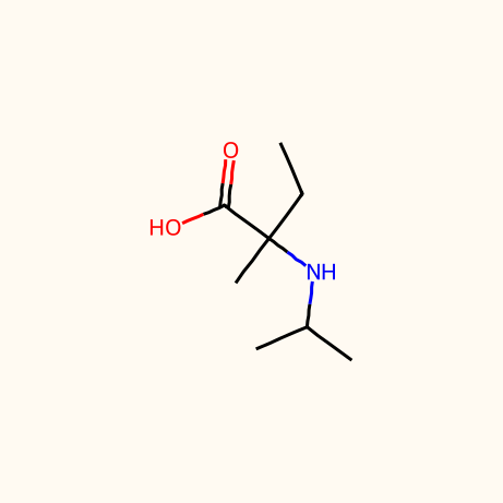 CCC(C)(NC(C)C)C(=O)O